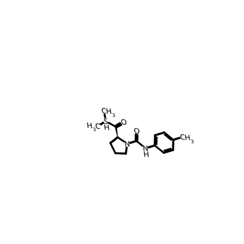 Cc1ccc(NC(=O)N2CCC[C@H]2C(=O)[SH](C)C)cc1